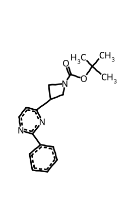 CC(C)(C)OC(=O)N1CC(c2ccnc(-c3ccccc3)n2)C1